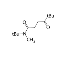 CN(C(=O)CCC(=O)C(C)(C)C)C(C)(C)C